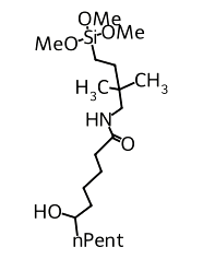 CCCCCC(O)CCCCC(=O)NCC(C)(C)CC[Si](OC)(OC)OC